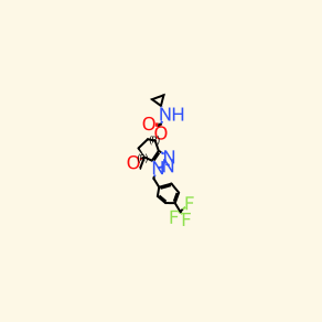 O=C(NC1CC1)O[C@@H]1CC[C@]2(CO2)c2c1nnn2Cc1ccc(C(F)(F)F)cc1